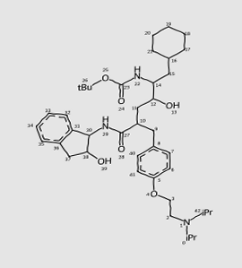 CC(C)N(CCOc1ccc(CC(CC(O)C(CC2CCCCC2)NC(=O)OC(C)(C)C)C(=O)NC2c3ccccc3CC2O)cc1)C(C)C